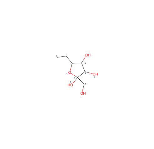 CCC1OC(O)(CO)C(O)C1O